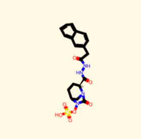 O=C(Cc1ccc2ccccc2c1)NNC(=O)[C@@H]1CCC2CN1C(=O)N2OS(=O)(=O)O